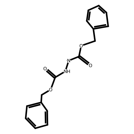 O=C([N]NC(=O)OCc1ccccc1)OCc1ccccc1